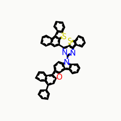 c1ccc(-c2cc3oc4c(ccc5c4c4ccccc4n5-c4nc(-c5cc6ccccc6c6c5sc5ccccc56)c5sc6ccccc6c5n4)c3c3ccccc23)cc1